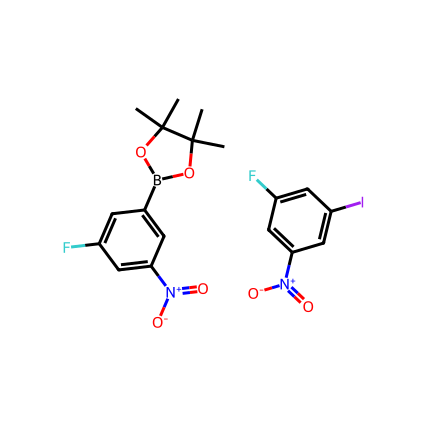 CC1(C)OB(c2cc(F)cc([N+](=O)[O-])c2)OC1(C)C.O=[N+]([O-])c1cc(F)cc(I)c1